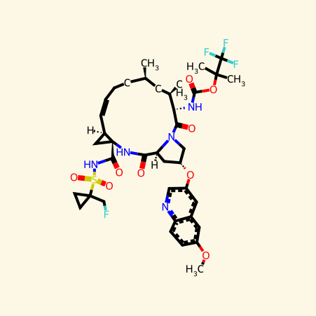 COc1ccc2ncc(O[C@@H]3C[C@H]4C(=O)N[C@]5(C(=O)NS(=O)(=O)C6(CF)CC6)C[C@H]5/C=C\CC[C@@H](C)C[C@@H](C)[C@H](NC(=O)OC(C)(C)C(F)(F)F)C(=O)N4C3)cc2c1